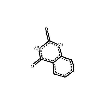 O=c1[nH]c(=O)c2cc[c]cc2[nH]1